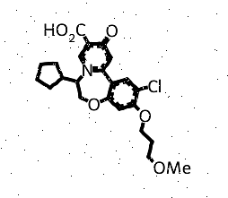 COCCCOc1cc2c(cc1Cl)-c1cc(=O)c(C(=O)O)cn1C(C1CCCC1)CO2